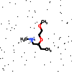 CCC(CNC)OCCOC